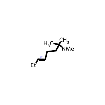 CC/C=C/CCC(C)(C)NC